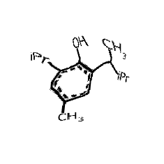 Cc1cc(C(C)C)c(O)c(C(C)C(C)C)c1